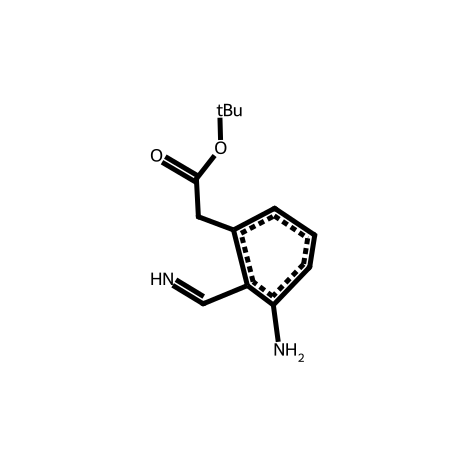 CC(C)(C)OC(=O)Cc1cccc(N)c1C=N